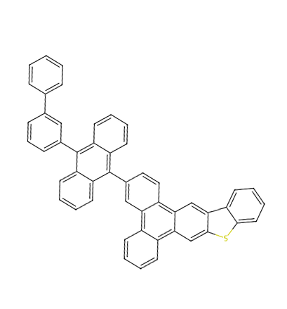 c1ccc(-c2cccc(-c3c4ccccc4c(-c4ccc5c(c4)c4ccccc4c4cc6sc7ccccc7c6cc54)c4ccccc34)c2)cc1